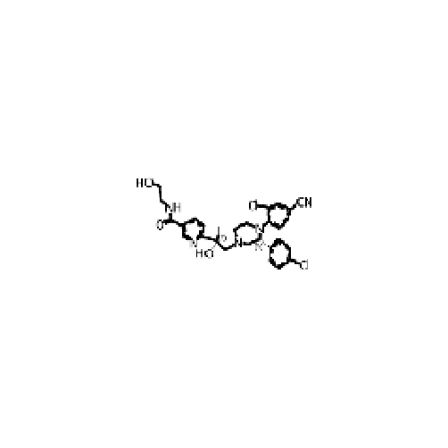 N#Cc1ccc(N2CCN(C[C@](O)(I)c3ccc(C(=O)NCCO)cn3)C[C@H]2c2ccc(Cl)cc2)c(Cl)c1